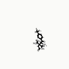 CC(C)(C(=O)c1ccc(C(F)(F)F)cc1)C(CC=O)(C(=O)O)C(=O)O